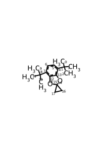 CC(C)(C)c1ccc(C(C)(C)C)c2c1OC1(CC1)O2